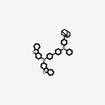 c1ccc(N(c2ccc(-c3ccc(N(c4ccc5oc6ccccc6c5c4)c4ccc5sc6ccccc6c5c4)cc3)cc2)c2ccc(C34CC5CC(CC(C5)C3)C4)cc2)cc1